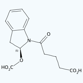 O=C(O)CCCC(=O)N1c2ccccc2C[C@@H]1OC(=O)O